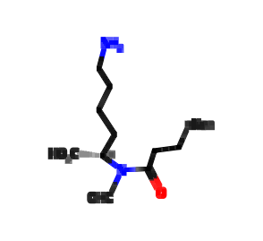 CCCCCCCCCCCC(=O)N(C=O)[C@@H](CCCCN)C(=O)O